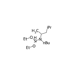 CCCCN(C(C)CC(C)C)[SiH](OCC)OCC